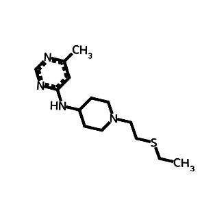 CCSCCN1CCC(Nc2cc(C)ncn2)CC1